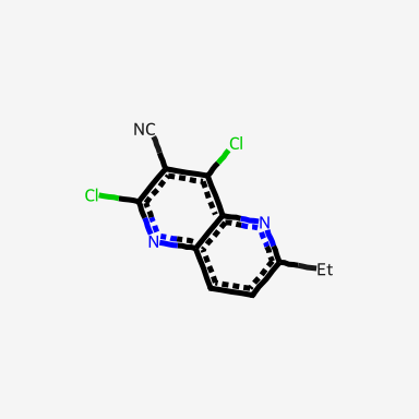 CCc1ccc2nc(Cl)c(C#N)c(Cl)c2n1